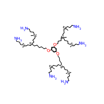 C[Si](C)(CCCN)CCC[Si](C)(CCCCCCOc1cc(OCCCC[Si](C)(CCC[Si](C)(C)CCCN)CCC[Si](C)(C)CCCN)cc(OCCCC[Si](C)(CCC[Si](C)(C)CCCN)CCC[Si](C)(C)CCCN)c1)CCC[Si](C)(C)CCCN